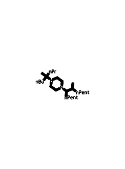 CCCCCC(C)C(CCCCC)N1CCN(C(C)(CCC)CCCC)CC1